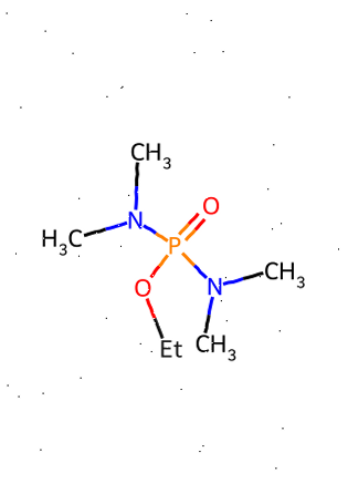 CCOP(=O)(N(C)C)N(C)C